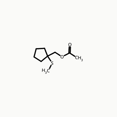 CSC1(COC(C)=O)CCCC1